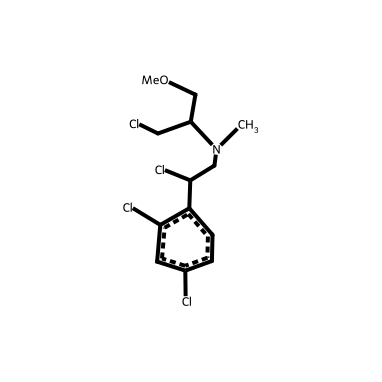 COCC(CCl)N(C)CC(Cl)c1ccc(Cl)cc1Cl